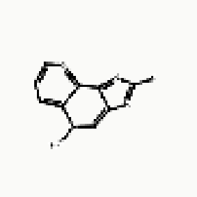 On1cc2nc(F)nc-2c2ncccc21